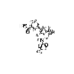 CC(C)(C)OC(=O)N1CCc2c(c(C(F)(F)F)nn2-c2cccc(C(=O)O)c2)C1